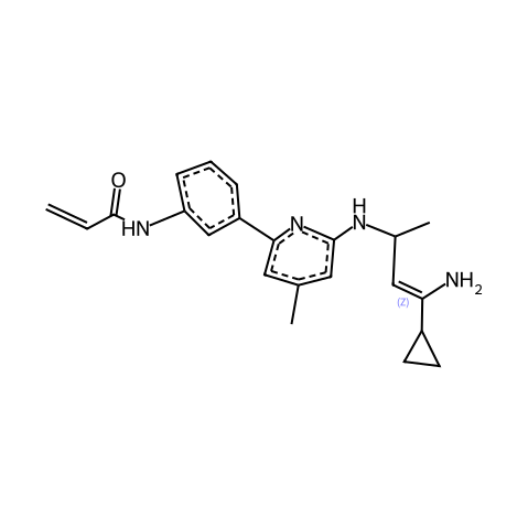 C=CC(=O)Nc1cccc(-c2cc(C)cc(NC(C)/C=C(\N)C3CC3)n2)c1